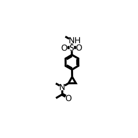 CNS(=O)(=O)c1ccc(C2CC2N(C)C(C)=O)cc1